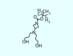 CC(C)(C)OC(=O)N1CC(N(CCCO)CCCO)C1